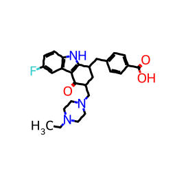 CCN1CCN(CC2CC(Cc3ccc(C(=O)O)cc3)c3[nH]c4ccc(F)cc4c3C2=O)CC1